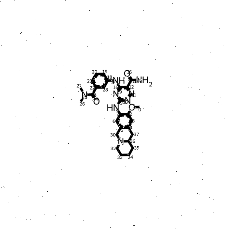 COc1cc2c(cc1Nc1nnc(C(N)=O)c(Nc3cccc(C(=O)N(C)C)c3)n1)CN1CCCCC1C2